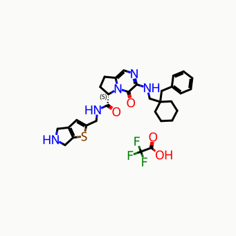 O=C(NCc1cc2c(s1)CNC2)[C@@H]1CCc2cnc(NCC3(Cc4ccccc4)CCCCC3)c(=O)n21.O=C(O)C(F)(F)F